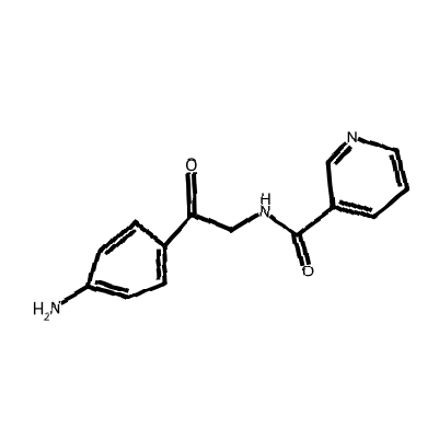 Nc1ccc(C(=O)CNC(=O)c2cccnc2)cc1